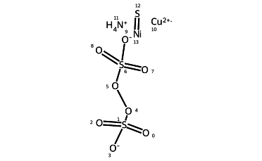 O=S(=O)([O-])OOS(=O)(=O)[O-].[Cu+2].[NH4+].[S]=[Ni]